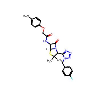 COc1ccc(OCC(=O)NC2C(=O)N3C(c4nnnn4Cc4ccc(F)cc4)C(C)(C)S[C@@H]23)cc1